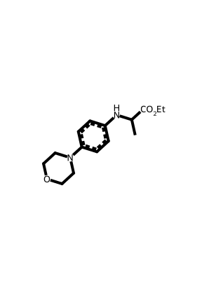 CCOC(=O)C(C)Nc1ccc(N2CCOCC2)cc1